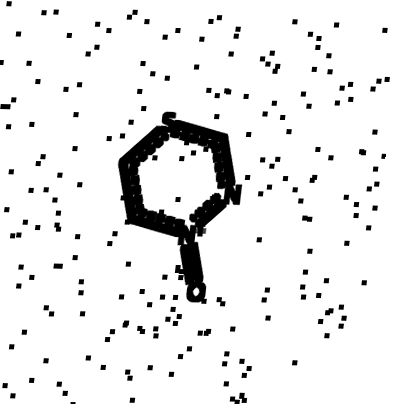 O=[n+]1ccscn1